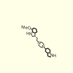 COc1cccc2c1NC[C@@H]2CCN1CCN(c2ccc3[nH]ccc3c2)CC1